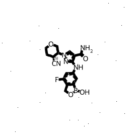 N#C[C@H]1CCOCC1n1cc(C(N)=O)c(Nc2cc(F)c3c(c2)B(O)OC3)n1